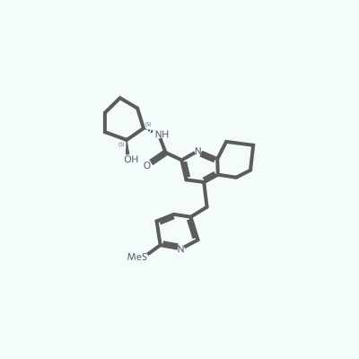 CSc1ccc(Cc2cc(C(=O)N[C@H]3CCCC[C@@H]3O)nc3c2CCCC3)cn1